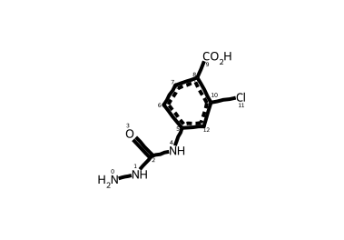 NNC(=O)Nc1ccc(C(=O)O)c(Cl)c1